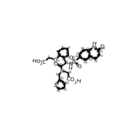 O=C(O)COc1ccccc1[C@H](NS(=O)(=O)c1ccc2[nH]c(=O)ccc2c1)C(=O)N(CC(=O)O)Cc1cccs1